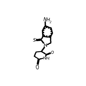 Nc1ccc2c(c1)C(=S)N(C1CCC(=O)NC1=O)C2